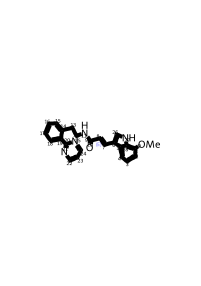 COc1cccc2c(/C=C/C(=O)NCCc3ccccc3-c3ncccn3)c[nH]c12